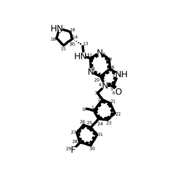 Cc1c(Cn2c(=O)[nH]c3cnc(NC[C@@H]4CCNC4)nc32)cccc1-c1ccc(F)cc1